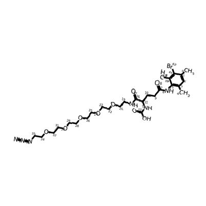 Cc1cc(C)c(NC(=O)CCC(NC(=O)O)C(=O)NCCOCCOCCOCCOCCOCCN=[N+]=[N-])c(C)c1Br